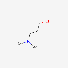 CC(=O)N(CCCO)C(C)=O